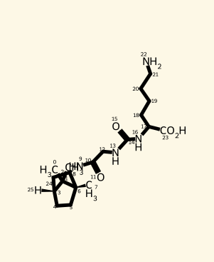 CC1(C)[C@@H]2CC[C@@]1(C)[C@@H](NC(=O)CNC(=O)NC(CCCCN)C(=O)O)C2